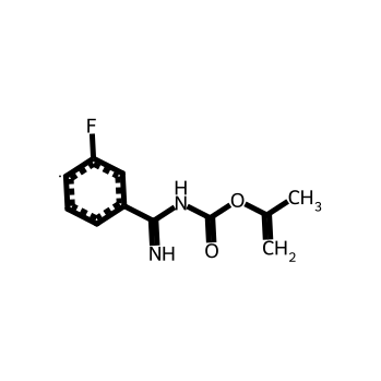 C=C(C)OC(=O)NC(=N)c1cc[c]c(F)c1